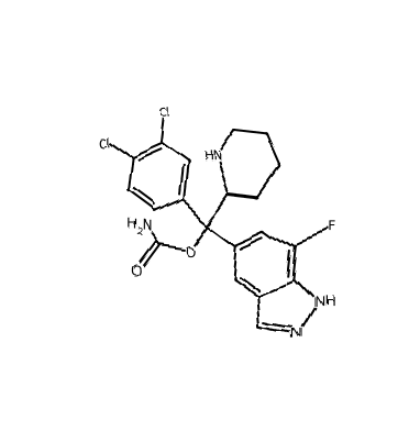 NC(=O)OC(c1ccc(Cl)c(Cl)c1)(c1cc(F)c2[nH]ncc2c1)C1CCCCN1